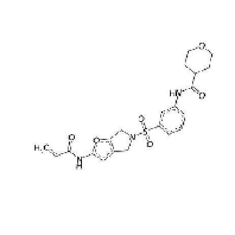 C=CC(=O)Nc1cc2c(o1)CN(S(=O)(=O)c1cccc(NC(=O)C3CCOCC3)c1)C2